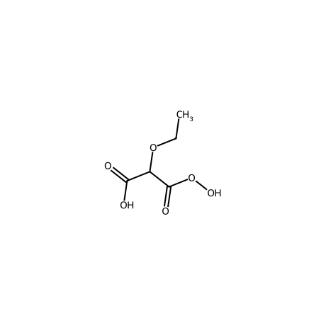 CCOC(C(=O)O)C(=O)OO